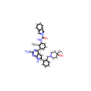 Cc1c(NC(=O)n2cc3ccccc3c2)cccc1-c1nc(N)nc2[nH]c(-c3ccccc3CN3CCC(C)(O)CC3)cc12